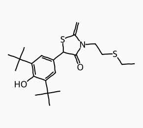 C=C1SC(c2cc(C(C)(C)C)c(O)c(C(C)(C)C)c2)C(=O)N1CCSCC